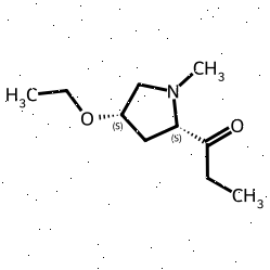 CCO[C@H]1C[C@@H](C(=O)CC)N(C)C1